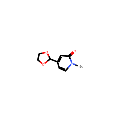 CCCCn1ccc(C2OCCO2)cc1=O